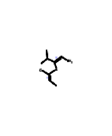 C/C=C(/Cl)S/C(=C\N)C(C)C